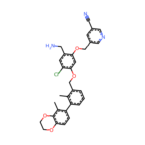 Cc1c(COc2cc(OCc3cncc(C#N)c3)c(CN)cc2Cl)cccc1-c1ccc2c(c1C)OCCO2